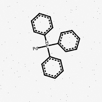 [Pd-][PH](c1ccccc1)(c1ccccc1)c1ccccc1